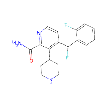 NC(=O)c1nccc(C(F)c2ccccc2F)c1C1CCNCC1